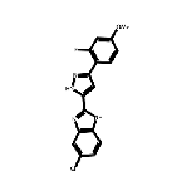 COc1ccc(-c2cc(-c3nc4cc(Cl)ccc4[nH]3)[nH]n2)c(F)c1